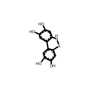 Oc1cc2c(cc1O)-c1cc(O)c(O)cc1SN2